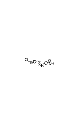 CN(Cc1ccc(OCCc2ccccc2)cc1)CC(C)(C)CN(C)Cc1ccc(C(=O)O)cc1